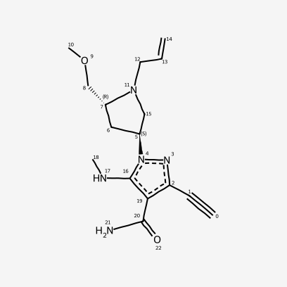 C#Cc1nn([C@H]2C[C@H](COC)N(CC=C)C2)c(NC)c1C(N)=O